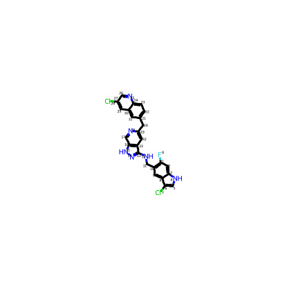 Fc1cc2[nH]cc(Cl)c2cc1CNc1n[nH]c2cnc(Cc3ccc4ncc(Cl)cc4c3)cc12